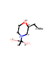 BC(B)(C)N1CCO[C@@H](CC(C)(C)C)C1